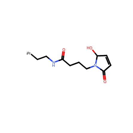 CC(C)CCNC(=O)CCCN1C(=O)C=CC1O